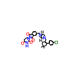 CC1(C)CCC(CN2C[C@@H]3C[C@H]2CN3Cc2ccc3c(c2)C(=O)N(N2CCC(=O)NC2=O)C3=O)=C(c2ccc(Cl)cc2)C1